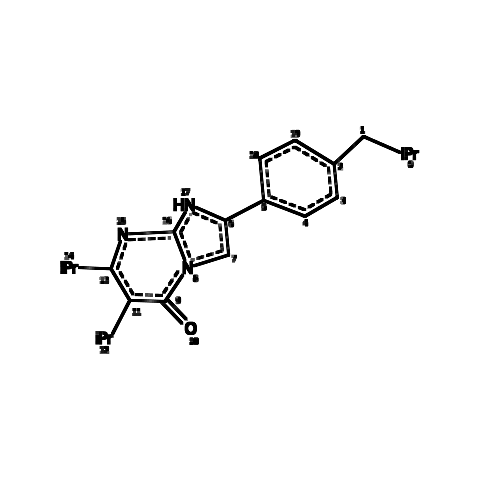 CC(C)Cc1ccc(-c2cn3c(=O)c(C(C)C)c(C(C)C)nc3[nH]2)cc1